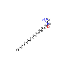 CCC=CCC=CCC=CCC=CCC=CCC=CCCC(=O)N(C)CCN